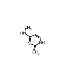 C=C1N=C(NC)C=CN1